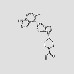 C=CC(=O)N1CCC(n2ccc3cc(-c4c(C)ccc5[nH]ncc45)ccc32)CC1